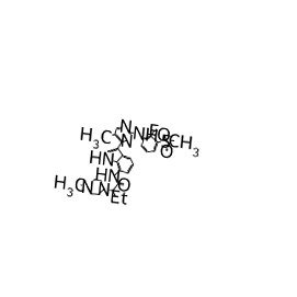 CCC(C(=O)Nc1cccc2c(-c3nc(Nc4cccc(S(C)(=O)=O)c4F)ncc3C)c[nH]c12)N1CCN(C)CC1